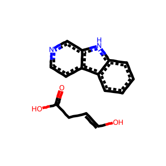 O=C(O)CC=CO.c1ccc2c(c1)[nH]c1cnccc12